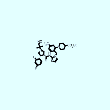 CCOC(=O)C1CCN(c2cc(C(F)(F)F)ccc2Cn2ccnc2NC(=O)[C@@H]2CN(C(C)(C)CO)C[C@H]2c2ccc(F)cc2F)CC1